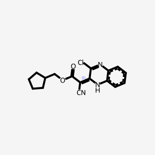 N#C/C(C(=O)OCC1CCCC1)=C1\Nc2ccccc2N=C1Cl